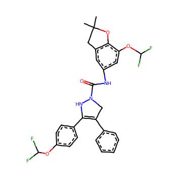 CC1(C)Cc2cc(NC(=O)N3CC(c4ccccc4)=C(c4ccc(OC(F)F)cc4)N3)cc(OC(F)F)c2O1